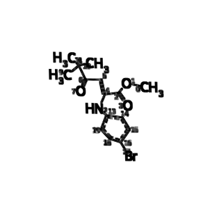 COC(=O)/C(=C/C(=O)C(C)(C)C)Nc1ccc(Br)cc1